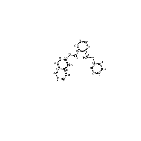 c1ccc(CNc2ccccc2OCc2ccc3ccccc3n2)cc1